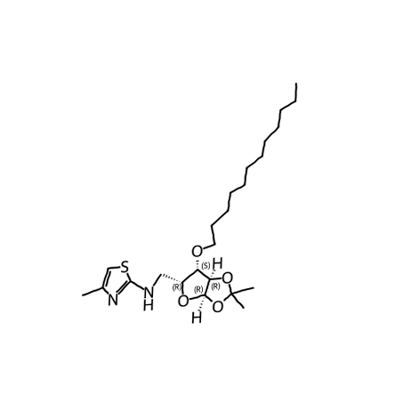 CCCCCCCCCCCCO[C@@H]1[C@H]2OC(C)(C)O[C@H]2O[C@@H]1CNc1nc(C)cs1